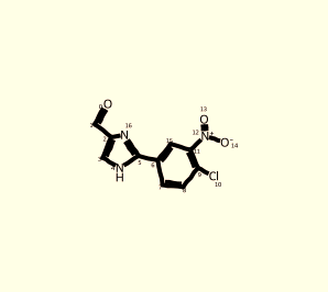 O=Cc1c[nH]c(-c2ccc(Cl)c([N+](=O)[O-])c2)n1